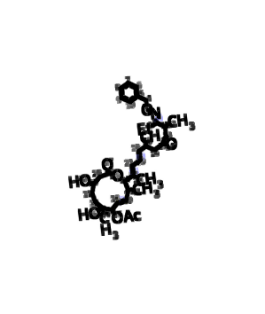 CC/C(=N\OCc1ccccc1)C(C)C1OC1CC(C)/C=C/C=C(\C)C1OC(=O)CC(O)CCC(C)(O)C(OC(C)=O)/C=C/C1C